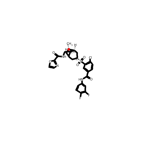 C[C@H]1CC2C[C@@H](S(=O)(=O)c3cc(C(=O)Nc4ccc(F)c(F)c4)ccc3Cl)C[C@H]1[C@@]2(O)CNC(=O)c1ncco1